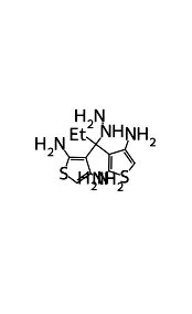 CCC(NN)(c1c(N)csc1N)c1c(N)csc1N